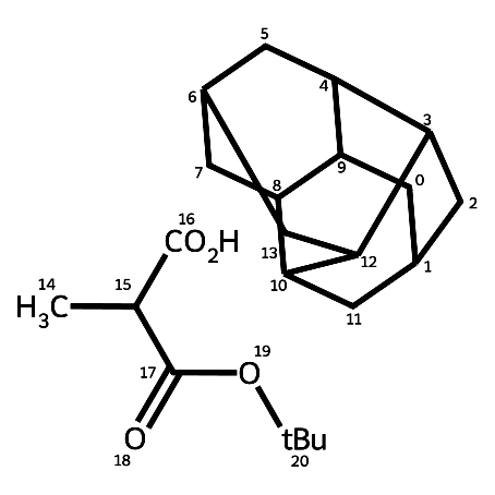 C1C2CC3C4CC5CC(C14)C(C2)C3C5.CC(C(=O)O)C(=O)OC(C)(C)C